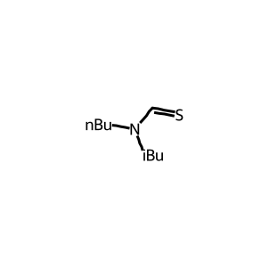 CCCCN(C=S)C(C)CC